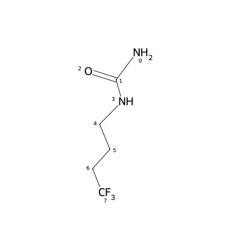 NC(=O)NCCCC(F)(F)F